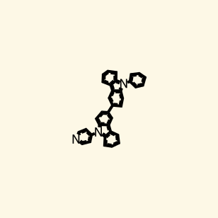 c1ccc(-n2c3ccccc3c3cc(-c4ccc5c(c4)c4ccccc4n5-c4ccncc4)ccc32)cc1